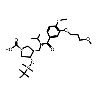 COCCCOc1cc(C(=O)N(C[C@@H]2CN(C(=O)O)C[C@H]2O[Si](C)(C)C(C)(C)C)C(C)C)ccc1OC